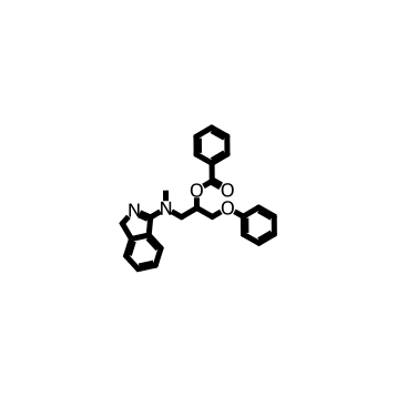 CN(CC(COc1ccccc1)OC(=O)c1ccccc1)C1=NCc2ccccc21